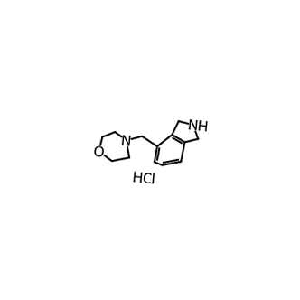 Cl.c1cc2c(c(CN3CCOCC3)c1)CNC2